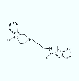 CCn1c2c(c3ccccc31)CN(CCCCNC(=O)c1cc3ccccc3[nH]1)CC2